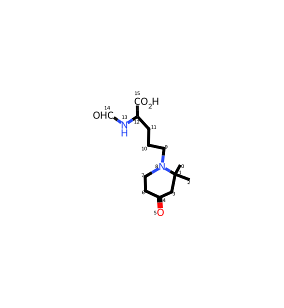 CC1(C)CC(=O)CCN1CCCC(NC=O)C(=O)O